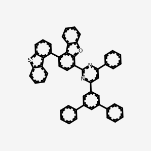 c1ccc(-c2cc(-c3ccccc3)cc(-c3cc(-c4ccccc4)nc(-c4ccc(-c5cccc6sc7ccccc7c56)c5c4oc4ccccc45)n3)c2)cc1